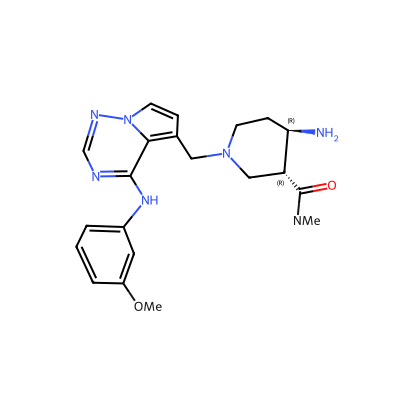 CNC(=O)[C@@H]1CN(Cc2ccn3ncnc(Nc4cccc(OC)c4)c23)CC[C@H]1N